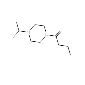 CCCC(=O)N1CCN(C(C)C)CC1